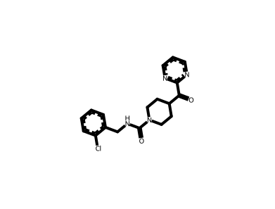 O=C(c1ncccn1)C1CCN(C(=O)NCc2ccccc2Cl)CC1